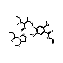 C=CNC(=O)c1cc(OC)c(OOC(C)C(N=C[C@@H]2CCC(OC)N2C(=O)CC)[C@@H](C)OC)cc1NC